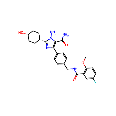 COc1ccc(F)cc1C(=O)NCc1ccc(-c2nc([C@H]3CC[C@@H](O)CC3)n(N)c2C(N)=O)cc1